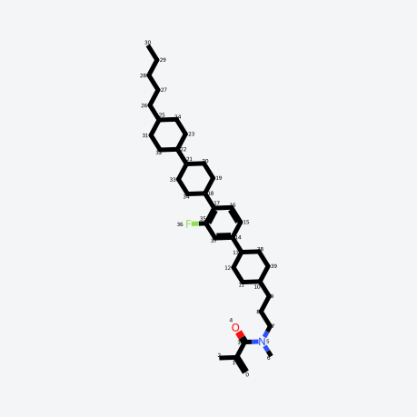 C=C(C)C(=O)N(C)CCCC1CCC(c2ccc(C3CCC(C4CCC(CCCCC)CC4)CC3)c(F)c2)CC1